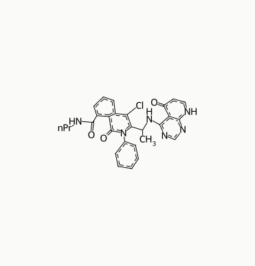 CCCNC(=O)c1cccc2c(Cl)c(C(C)Nc3ncnc4[nH]ccc(=O)c34)n(-c3ccccc3)c(=O)c12